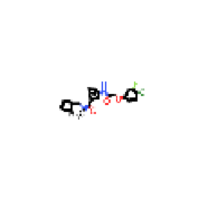 CN(Cc1ccccc1)C(=O)C1CC(NC(=O)COc2ccc(Cl)c(F)c2)C2CC1C2